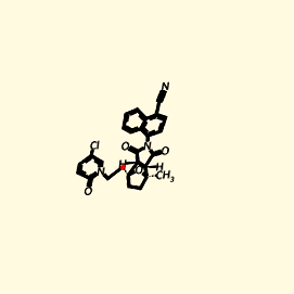 C[C@]12CC[C@](CCn3cc(Cl)ccc3=O)(O1)[C@@H]1C(=O)N(c3ccc(C#N)c4ccccc34)C(=O)[C@@H]12